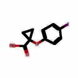 O=C(O)C1(Oc2ccc(I)cc2)CC1